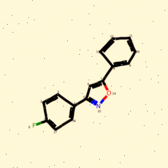 Fc1ccc(-c2cc(-c3ccccc3)on2)cc1